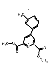 COC(=O)c1cc(-c2cccc(C)c2)cc(C(=O)OC)n1